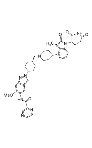 COc1cc2nn([C@H]3CC[C@H](CN4CCC(c5cccc6c5n(C)c(=O)n6C5CCC(=O)NC5=O)CC4)CC3)cc2cc1NC(=O)c1cnccn1